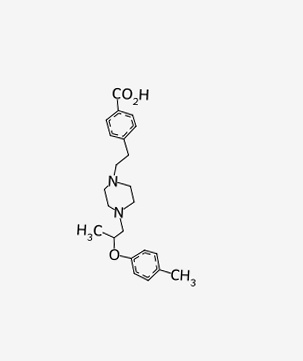 Cc1ccc(OC(C)CN2CCN(CCc3ccc(C(=O)O)cc3)CC2)cc1